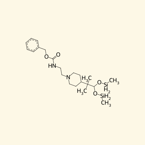 C[SiH2]OC(O[SiH2]C)C(C)(C)C1CCN(CCNC(=O)OCc2ccccc2)CC1